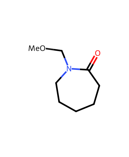 COCN1CCCCCC1=O